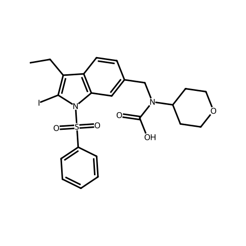 CCc1c(I)n(S(=O)(=O)c2ccccc2)c2cc(CN(C(=O)O)C3CCOCC3)ccc12